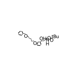 CC(C)(C)C(=O)ONCCC(O)c1cccc(OCCCCCOCc2ccccc2)c1